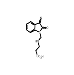 O=C(O)CCNCN1C(=O)C(=O)c2ccccc21